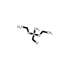 CCO[Si](C)(CCl)OCC